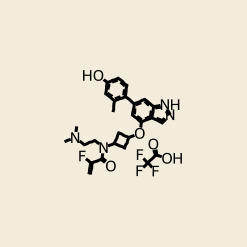 C=C(F)C(=O)N(CCN(C)C)C1CC(Oc2cc(-c3ccc(O)cc3C)cc3[nH]ncc23)C1.O=C(O)C(F)(F)F